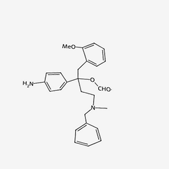 COc1ccccc1CC(CCN(C)Cc1ccccc1)(O[C]=O)c1ccc(N)cc1